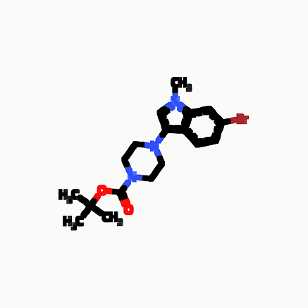 Cn1cc(N2CCN(C(=O)OC(C)(C)C)CC2)c2ccc(Br)cc21